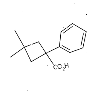 CC1(C)CC(C(=O)O)(c2ccccc2)C1